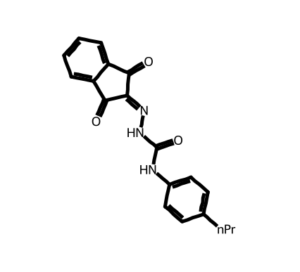 CCCc1ccc(NC(=O)NN=c2c(=O)c3ccccc3c2=O)cc1